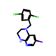 Clc1ccc(Cl)c(CN2CCNc3ncc(I)cc32)c1